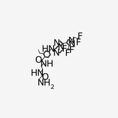 CCc1cc(Nc2nccn3c(-c4cn(CC(F)F)nc4C(F)(F)F)cnc23)ccc1C(=O)NCCNC(=O)CN